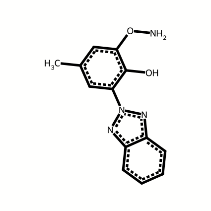 Cc1cc(ON)c(O)c(-n2nc3ccccc3n2)c1